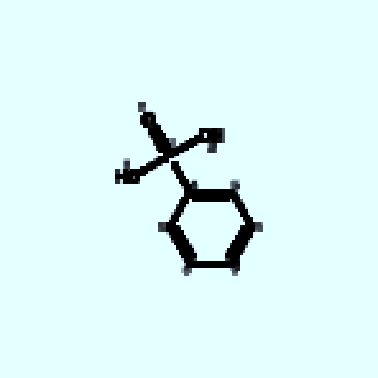 O=P(O)(O)c1cc[c]cc1